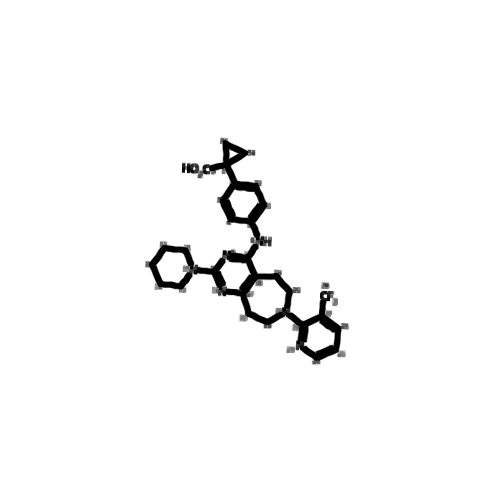 O=C(O)C1(c2ccc(Nc3nc(N4CCCCC4)nc4c3CCN(c3ncccc3C(F)(F)F)CC4)cc2)CC1